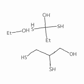 CCC(O)(S)S.CCO.OCC(S)CS